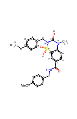 COc1ccc(CNC(=O)c2ccc3c(c2)S(=O)(=O)N(Cc2ccc(CC(=O)O)cc2)C(=O)N3C)cc1